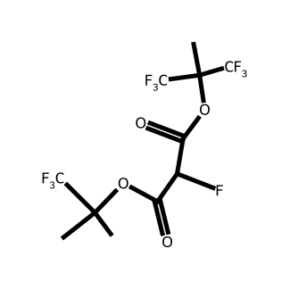 CC(C)(OC(=O)C(F)C(=O)OC(C)(C(F)(F)F)C(F)(F)F)C(F)(F)F